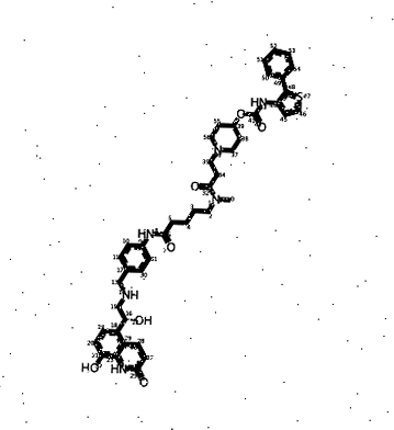 CN(CCCCC(=O)Nc1ccc(CNC[C@H](O)c2ccc(O)c3[nH]c(=O)ccc23)cc1)C(=O)CCN1CCC(OC(=O)Nc2ccsc2-c2ccccc2)CC1